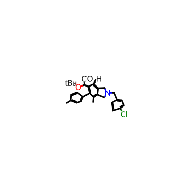 Cc1ccc(-c2c(C)c3c(c(C)c2C(OC(C)(C)C)C(=O)O)CN(Cc2ccc(Cl)cc2)C3)cc1